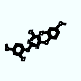 COc1ccc(Oc2cc(Cl)nc(Oc3ccc(OC)cc3Cl)n2)c(Cl)c1